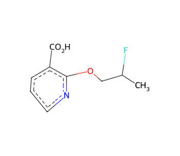 CC(F)COc1ncccc1C(=O)O